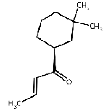 C/C=C/C(=O)[C@H]1CCCC(C)(C)C1